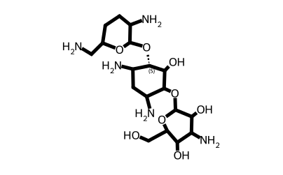 NCC1CCC(N)C(O[C@H]2C(N)CC(N)C(OC3OC(CO)C(O)C(N)C3O)C2O)O1